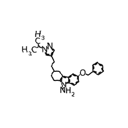 CC(C)n1cc(CCC2CCc3c(c4cc(OCc5ccccc5)ccc4n3N)C2)cn1